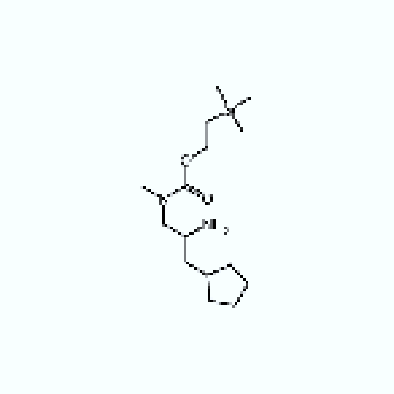 CN(CC(N)CC1CCCC1)C(=O)OCC[Si](C)(C)C